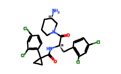 N[C@H]1CCCN(C(=O)[C@H](Cc2ccc(Cl)cc2Cl)NC(=O)C2(c3ccc(Cl)cc3Cl)CC2)C1